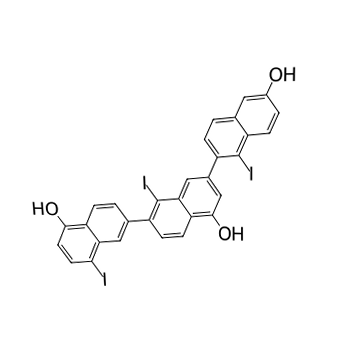 Oc1ccc2c(I)c(-c3cc(O)c4ccc(-c5ccc6c(O)ccc(I)c6c5)c(I)c4c3)ccc2c1